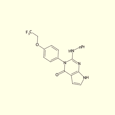 CCCNc1nc2[nH]ccc2c(=O)n1-c1ccc(OCC(F)(F)F)cc1